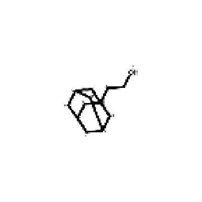 OCCC12CC3[CH]C(CC(C3)C1)C2